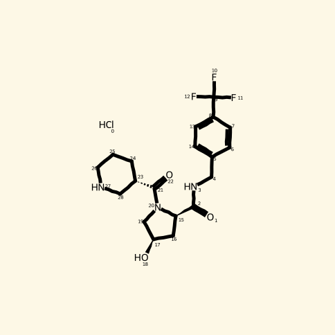 Cl.O=C(NCc1ccc(C(F)(F)F)cc1)[C@H]1C[C@@H](O)CN1C(=O)[C@H]1CCCNC1